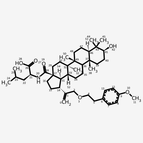 C=C(COCCc1ccc(OC)cc1)[C@@H]1CC[C@]2(C(=O)N[C@@H](CC(C)C)C(=O)O)CC[C@]3(C)[C@H](CCC4[C@@]5(C)CC[C@H](O)C(C)(C)[C@@H]5CC[C@]43C)[C@@H]12